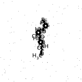 COCCC(=O)Nc1ccc(NC(=O)c2cc(NC(=O)c3cccc(C(F)(F)F)c3)ccc2Cl)cn1